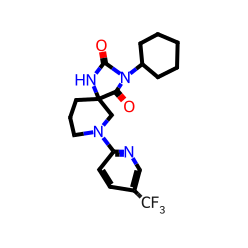 O=C1NC2(CCCN(c3ccc(C(F)(F)F)cn3)C2)C(=O)N1C1CCCCC1